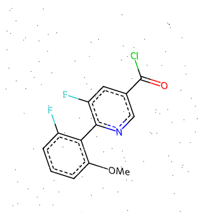 COc1cccc(F)c1-c1ncc(C(=O)Cl)cc1F